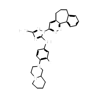 Nc1nc(Nc2ccc(N3CCN4CCCCC4C3)c(F)c2)n(-c2cc3c(nn2)-c2ccccc2CCC3)n1